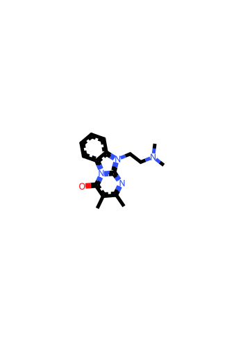 Cc1nc2n(CCN(C)C)c3ccccc3n2c(=O)c1C